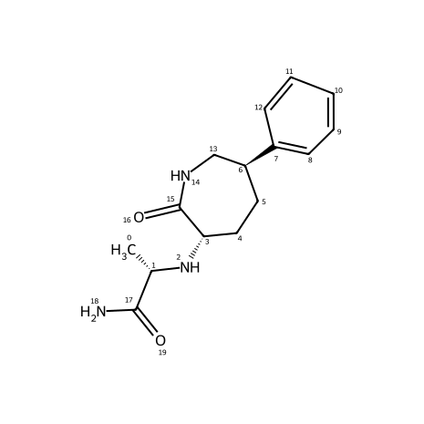 C[C@H](N[C@H]1CC[C@H](c2ccccc2)CNC1=O)C(N)=O